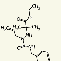 C=CCN(NC(C)(C)C(=O)OCC)C(=O)NCc1ccccc1